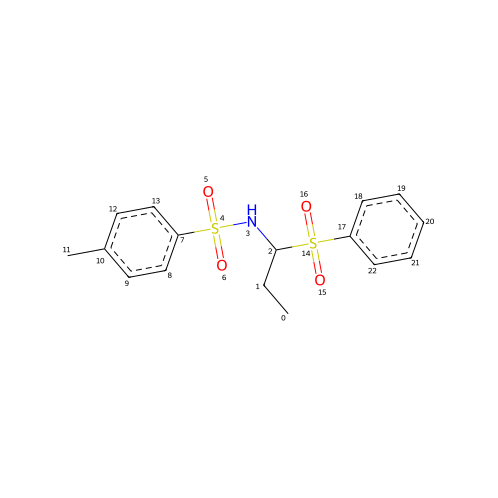 CCC(NS(=O)(=O)c1ccc(C)cc1)S(=O)(=O)c1ccccc1